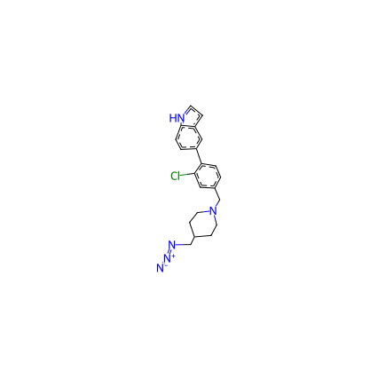 [N-]=[N+]=NCC1CCN(Cc2ccc(-c3ccc4[nH]ccc4c3)c(Cl)c2)CC1